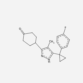 Cc1c(C2CCC(=O)CC2)n[nH]c1C1(c2ccc(F)cc2)CC1